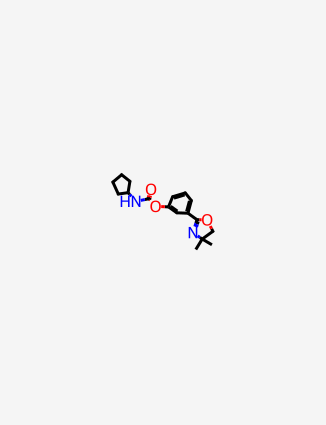 CC1(C)COC(c2cccc(OC(=O)NC3CCCC3)c2)=N1